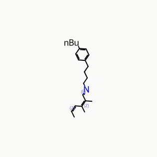 C\C=C/C(C)=C(C)\C=N\CCCCc1ccc(CCCC)cc1